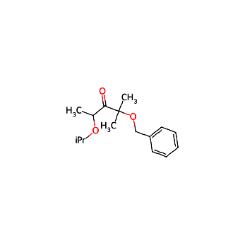 CC(C)OC(C)C(=O)C(C)(C)OCc1ccccc1